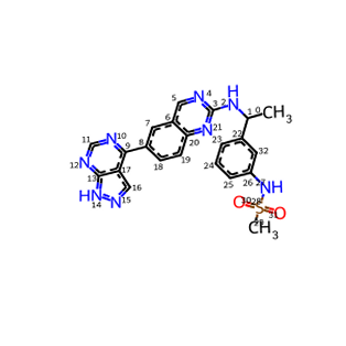 CC(Nc1ncc2cc(-c3ncnc4[nH]ncc34)ccc2n1)c1cccc(NS(C)(=O)=O)c1